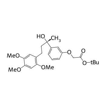 COc1cc(OC)c(OC)cc1CC[C@](C)(O)c1cccc(OCC(=O)OC(C)(C)C)c1